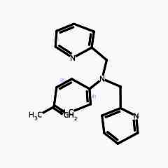 C=C(C)/C=C\C(=C/C)N(Cc1ccccn1)Cc1ccccn1